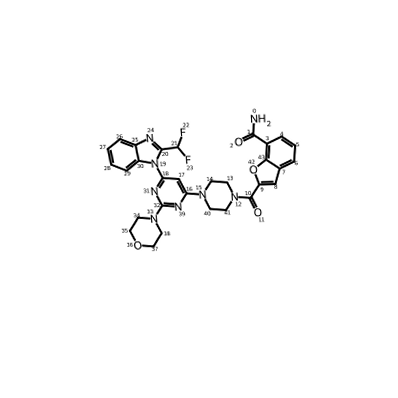 NC(=O)c1cccc2cc(C(=O)N3CCN(c4cc(-n5c(C(F)F)nc6ccccc65)nc(N5CCOCC5)n4)CC3)oc12